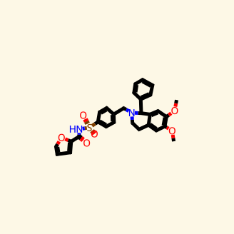 COc1cc2c(cc1OC)C(c1ccccc1)N(Cc1ccc(S(=O)(=O)NC(=O)c3ccco3)cc1)CC2